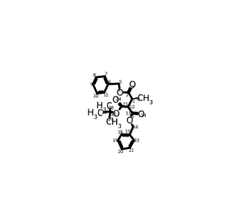 C[C@H](C(=O)OCc1ccccc1)C(C(=O)OCc1ccccc1)C(=O)OC(C)(C)C